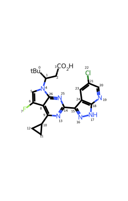 CC(C)(C)C(CC(=O)O)n1cc(F)c2c(C3CC3)nc(-c3n[nH]c4ncc(Cl)cc34)nc21